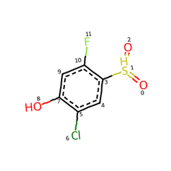 O=[SH](=O)c1cc(Cl)c(O)cc1F